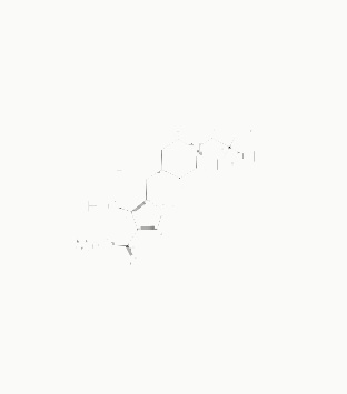 CC[C@@H](c1scc(C(=O)OC)c1C)C1CCN(CC(C)(F)F)CC1